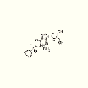 Nc1nc2c(ncn2[C@H]2C[C@H](O)[C@@H](CO)O2)c(=O)n1CCS(=O)(=O)c1ccccc1